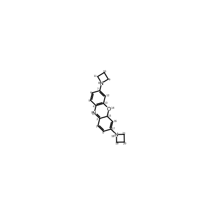 C1=CC2=Nc3ccc(N4CCC4)cc3OC2C=C1N1CCC1